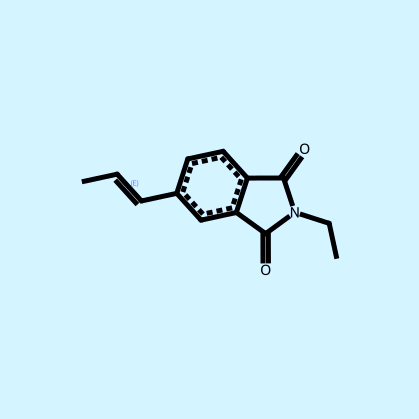 C/C=C/c1ccc2c(c1)C(=O)N(CC)C2=O